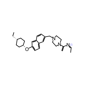 C=C(/N=C\C)N1CCN(Cc2ccc3cc(O[C@H]4CC[C@@H](CC)CC4)ccc3c2)CC1